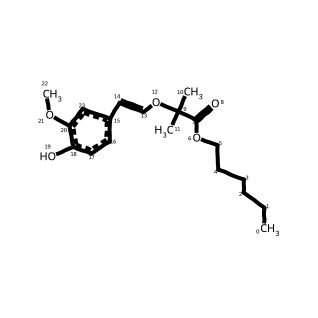 CCCCCCOC(=O)C(C)(C)OC=Cc1ccc(O)c(OC)c1